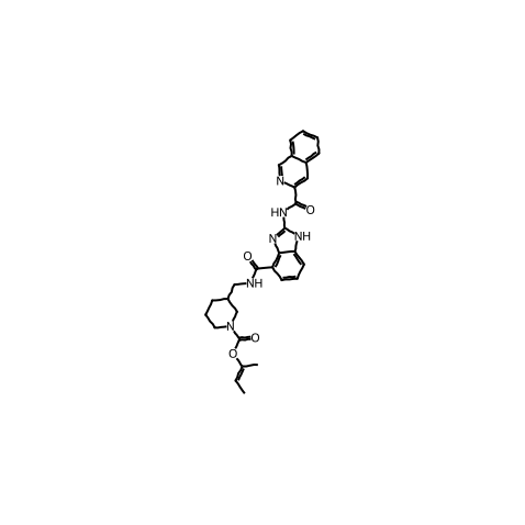 C/C=C(\C)OC(=O)N1CCCC(CNC(=O)c2cccc3[nH]c(NC(=O)c4cc5ccccc5cn4)nc23)C1